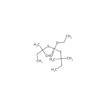 CCOP(=O)(SC(C)(C)CC)SC(C)(C)CC